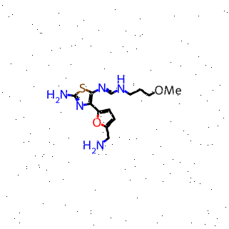 COCCCNC=Nc1sc(N)nc1-c1ccc(CN)o1